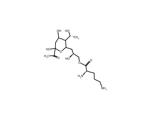 CC(=O)C1(O)CC(O)C([C@@H](C)O)C(C[C@H](O)COC(=O)[C@H](N)CCCN)O1